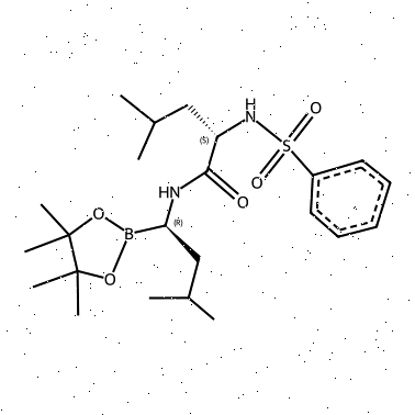 CC(C)C[C@H](NC(=O)[C@H](CC(C)C)NS(=O)(=O)c1ccccc1)B1OC(C)(C)C(C)(C)O1